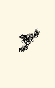 CC(C)Oc1ccc(C(=O)Cn2ccnc2)cc1-n1c(CC2(O)CCN(C(=O)OC(C)(C)C)CC2)nc2ccccc2c1=O